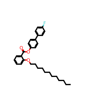 CCCCCCCCCCCCOc1ccccc1C(=O)Oc1ccc(-c2ccc(F)cc2)cc1